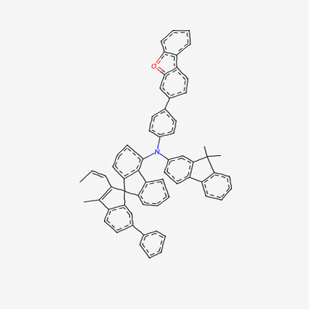 C/C=C\C1=C(C)c2ccc(-c3ccccc3)cc2C12c1ccccc1-c1c(N(c3ccc(-c4ccc5c(c4)oc4ccccc45)cc3)c3ccc4c(c3)C(C)(C)c3ccccc3-4)cccc12